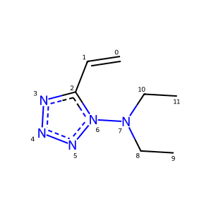 C=Cc1nnnn1N(CC)CC